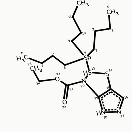 CCC[CH2][Sn]([CH2]CCC)([CH2]CCC)[SH]1Sc2cn[nH]c2N1C(=O)OCC